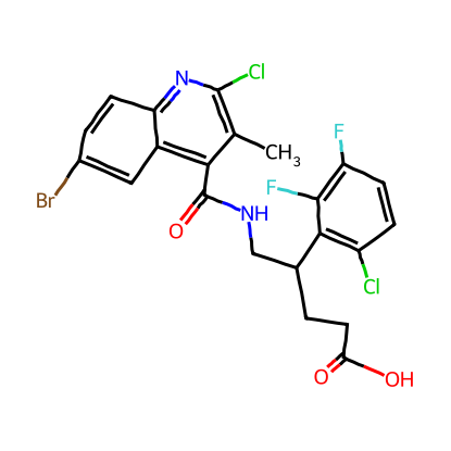 Cc1c(Cl)nc2ccc(Br)cc2c1C(=O)NCC(CCC(=O)O)c1c(Cl)ccc(F)c1F